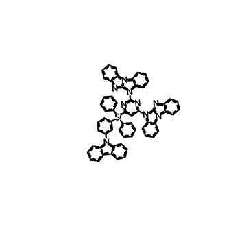 c1ccc([Si](c2ccccc2)(c2cccc(-n3c4ccccc4c4ccccc43)c2)c2cc(-n3c4ccccc4n4c5ccccc5nc34)nc(-n3c4ccccc4n4c5ccccc5nc34)n2)cc1